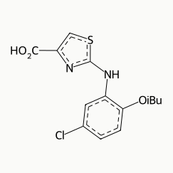 CC(C)COc1ccc(Cl)cc1Nc1nc(C(=O)O)cs1